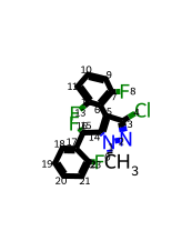 Cn1nc(Cl)c(-c2c(F)cccc2F)c1C(F)c1ccccc1F